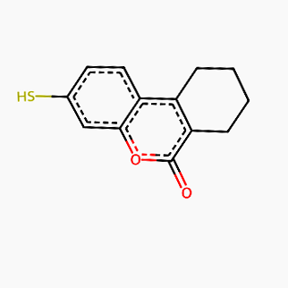 O=c1oc2cc(S)ccc2c2c1CCCC2